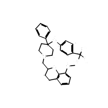 COc1cccc2c1OC(CN1CCC(Oc3ccc(C(F)(F)F)cc3)(c3ccccc3)CC1)CC2